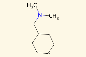 CN(C)CC1CC[CH]CC1